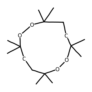 CC1(C)CCC(C)(C)OOC(C)(C)CCC(C)(C)OO1